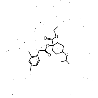 CCOC(=O)C1(OC(=O)Cc2ccc(C)cc2C)CCC(OC(C)C)CC1